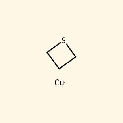 C1CSC1.[Cu]